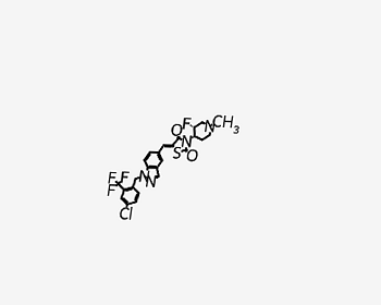 CN1CC[C@@H](N2C(=O)SC(=Cc3ccc4c(cnn4Cc4ccc(Cl)cc4C(F)(F)F)c3)C2=O)[C@H](F)C1